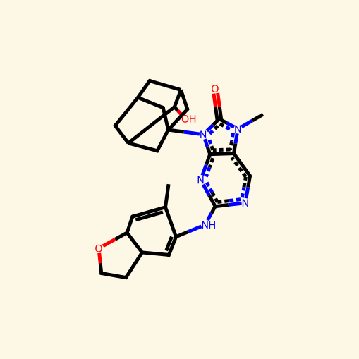 CC1=CC2OCCC2C=C1Nc1ncc2c(n1)n(C13CC4CC(C1)C(O)C(C4)C3)c(=O)n2C